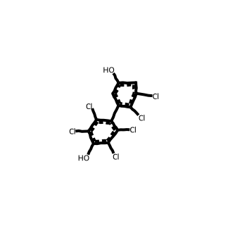 Oc1cc(Cl)c(Cl)c(-c2c(Cl)c(Cl)c(O)c(Cl)c2Cl)c1